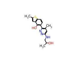 Cc1cc2c(O)c(-c3nnc(NCC(C)O)cc3C)ccc2s1